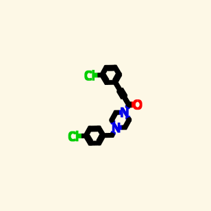 O=C(C#Cc1cccc(Cl)c1)N1CCN(Cc2ccc(Cl)cc2)CC1